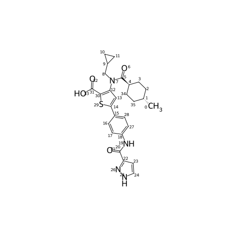 C[C@H]1CC[C@H](C(=O)N(CC2CC2)c2cc(-c3ccc(NC(=O)c4cc[nH]n4)cc3)sc2C(=O)O)CC1